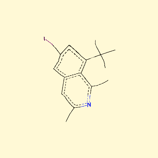 Cc1cc2cc(I)cc(C(C)(C)C)c2c(C)n1